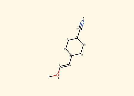 CO/C=C/C1CCC(C#N)CC1